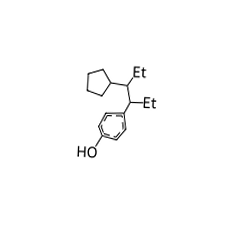 CCC(c1ccc(O)cc1)C(CC)C1CCCC1